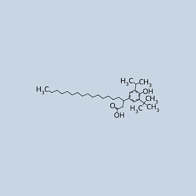 CCCCCCCCCCCCCCCC(CC(=O)O)c1cc(C(C)C)c(O)c(C(C)(C)C)c1